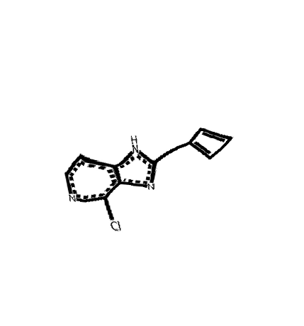 Clc1nccc2[nH]c(C3=CC=C3)nc12